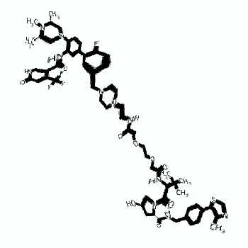 Cc1ncsc1-c1ccc(CNC(=O)[C@@H]2C[C@@H](O)CN2C(=O)C(NC(=O)COCCOCC(=O)NCCN2CCN(Cc3ccc(F)c(-c4ccc(N5C[C@@H](C)N(C)[C@@H](C)C5)c(NC(=O)c5c[nH]c(=O)cc5C(F)(F)F)c4)c3)CC2)C(C)(C)C)cc1